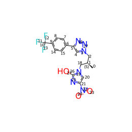 C[C@H](Cn1cc(-c2ccc(C(F)(F)F)cc2)nn1)Cn1cc([N+](=O)[O-])nc1O